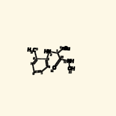 CCCCC(Nc1ccccc1C)C(=O)NO